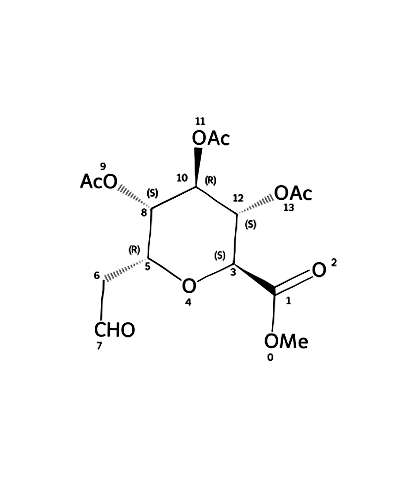 COC(=O)[C@H]1O[C@H](CC=O)[C@H](OC(C)=O)[C@@H](OC(C)=O)[C@@H]1OC(C)=O